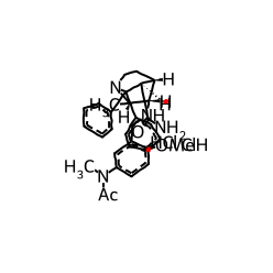 COc1ccc(N(C)C(C)=O)cc1CN[C@H]1[C@H]2CCN([C@H]1C)C(c1ccccc1)(c1ccccc1)[C@@H]2C(N)=O.Cl.Cl